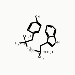 C[C@](N)(Cc1c[nH]c2ccccc12)C(=O)O.C[C@](N)(Cc1ccc(O)cc1)C(=O)O